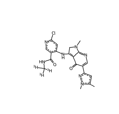 [2H]C([2H])([2H])NC(=O)c1cnc(Cl)cc1NC1=C2C(=O)C(c3cc(C)n(C)n3)=CN=C2N(C)C1